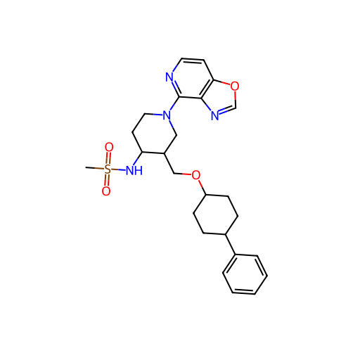 CS(=O)(=O)NC1CCN(c2nccc3ocnc23)CC1COC1CCC(c2ccccc2)CC1